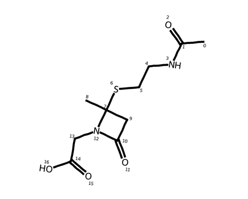 CC(=O)NCCSC1(C)CC(=O)N1CC(=O)O